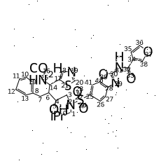 CC(C)CN(CC(O)C(Cc1ccccc1)C(NC(=O)O)c1cncs1)S(=O)(=O)c1ccc2nc(NC(=O)c3ccoc3)oc2c1